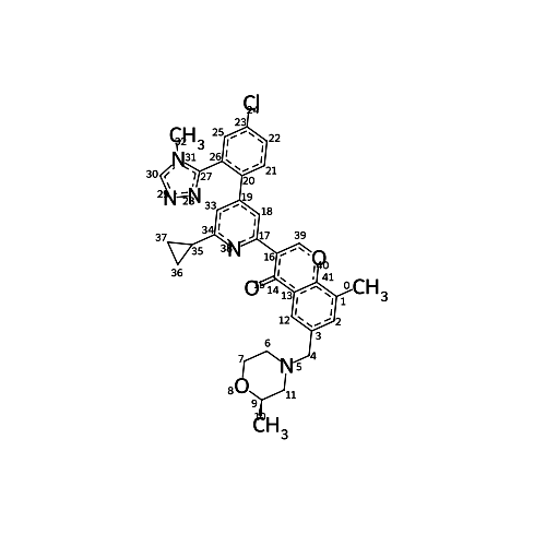 Cc1cc(CN2CCO[C@H](C)C2)cc2c(=O)c(-c3cc(-c4ccc(Cl)cc4-c4nncn4C)cc(C4CC4)n3)coc12